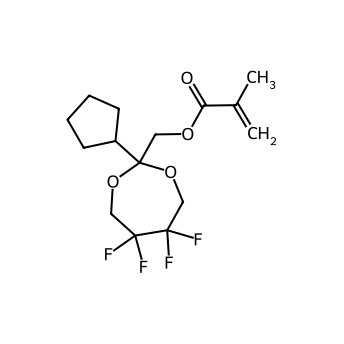 C=C(C)C(=O)OCC1(C2CCCC2)OCC(F)(F)C(F)(F)CO1